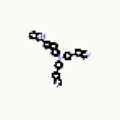 C1=CC2=CC(c3ccc4c(ccc5cc(N(c6ccc(-c7ccc8cnccc8c7)cc6)c6ccc(-c7ccc8cnccc8c7)cc6)ccc54)c3)=NCC2C=C1